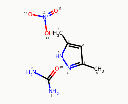 Cc1cc(C)[nH]n1.NC(N)=O.O=[N+]([O-])O